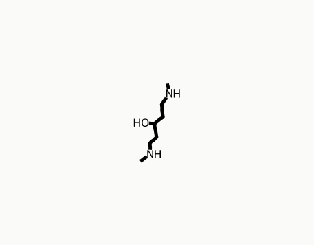 CNCCC(O)CCNC